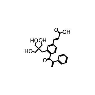 C=C(C(=O)c1ccc(C=CC(=O)O)cc1CC(CO)(CO)CO)c1ccccc1